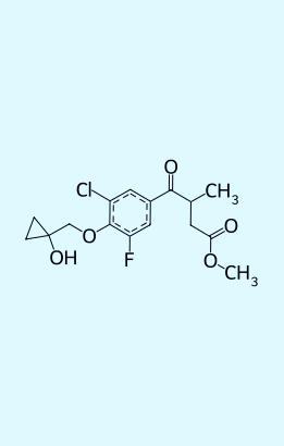 COC(=O)CC(C)C(=O)c1cc(F)c(OCC2(O)CC2)c(Cl)c1